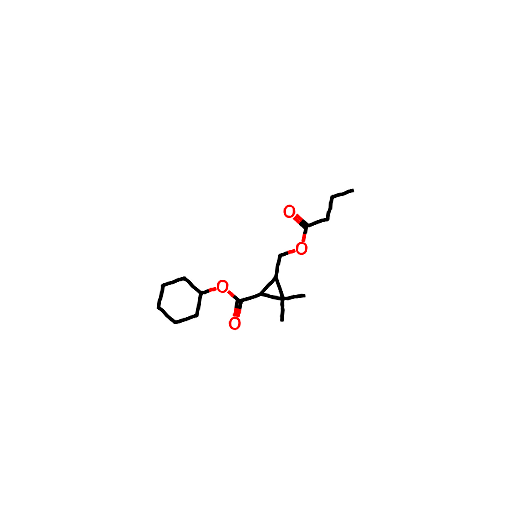 CCCC(=O)OCC1C(C(=O)OC2CCCCC2)C1(C)C